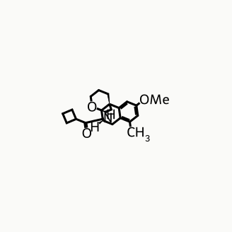 COc1cc(C)c2c(c1)[C@@]13CCCO[C@H]1[C@@H](C2)N(C(=O)C1CCC1)CC3